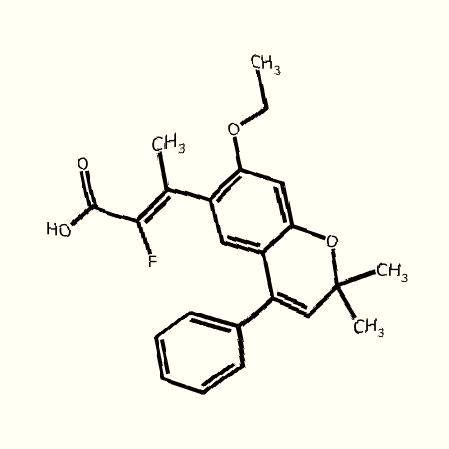 CCOc1cc2c(cc1C(C)=C(F)C(=O)O)C(c1ccccc1)=CC(C)(C)O2